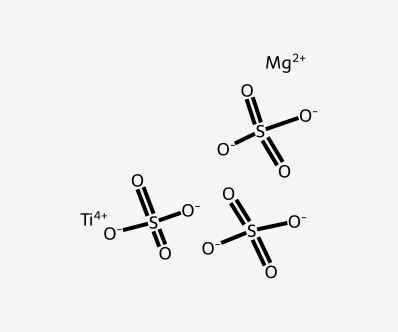 O=S(=O)([O-])[O-].O=S(=O)([O-])[O-].O=S(=O)([O-])[O-].[Mg+2].[Ti+4]